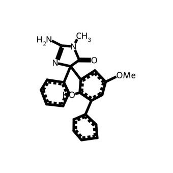 COc1cc(-c2ccccc2)c(O)c(C2(c3ccccc3)N=C(N)N(C)C2=O)c1